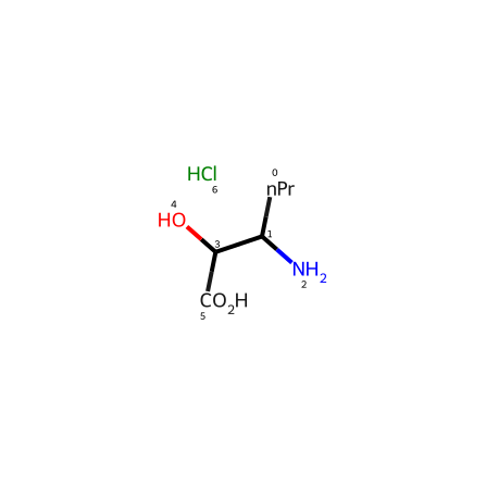 CCCC(N)C(O)C(=O)O.Cl